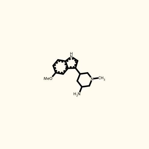 COc1ccc2[nH]cc(C3CC(N)CN(C)C3)c2c1